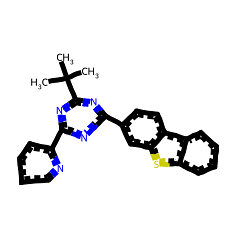 CC(C)(C)c1nc(-c2ccc3c(c2)sc2ccccc23)nc(-c2ccccn2)n1